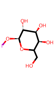 OCC1O[C@@H](OI)[C@H](O)[C@@H](O)[C@H]1O